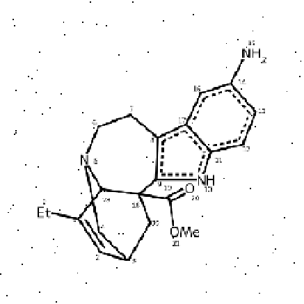 CCC1=CC2CN3CCc4c([nH]c5ccc(N)cc45)C(C(=O)OC)(C2)C13